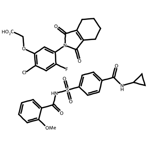 COc1ccccc1C(=O)NS(=O)(=O)c1ccc(C(=O)NC2CC2)cc1.O=C(O)COc1cc(N2C(=O)C3=C(CCCC3)C2=O)c(F)cc1Cl